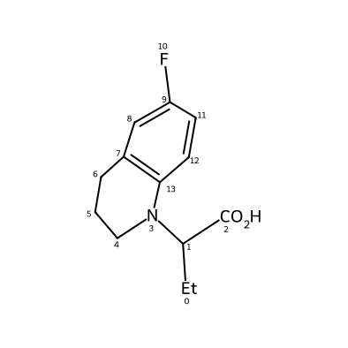 CCC(C(=O)O)N1CCCc2cc(F)ccc21